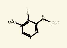 [CH2]COC(=O)Nc1cccc(OC)c1F